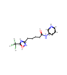 O=C(CCCCc1noc(C(F)(F)F)n1)Nc1cccnc1